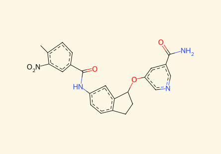 Cc1ccc(C(=O)Nc2ccc3c(c2)C(Oc2cncc(C(N)=O)c2)CC3)cc1[N+](=O)[O-]